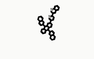 C1=Cc2cc(-c3c4ccccc4c(-c4ccc5c(c4)CCC=C5)c4ccc(-c5ccc(-c6cnc7ccccc7c6)nc5)cc34)ccc2CC1